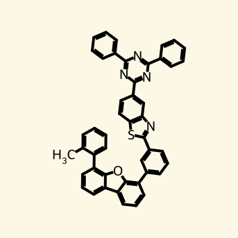 Cc1ccccc1-c1cccc2c1oc1c(-c3cccc(-c4nc5cc(-c6nc(-c7ccccc7)nc(-c7ccccc7)n6)ccc5s4)c3)cccc12